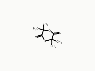 CC1(C)OC(=S)C(C)(C)OC1=S